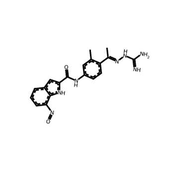 C/C(=N\NC(=N)N)c1ccc(NC(=O)c2cc3cccc(N=O)c3[nH]2)cc1C